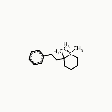 CC1(CCc2ccccc2)CCCC[Si]1(C)C